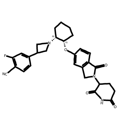 N#Cc1ccc(C2CN([C@@H]3CCCC[C@@H]3Oc3ccc4c(c3)CN(C3CCC(=O)NC3=O)C4=O)C2)cc1F